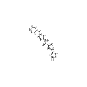 O=C(Nc1cnn(Cc2ccncc2)c1)c1csc(-c2cn[nH]c2)n1